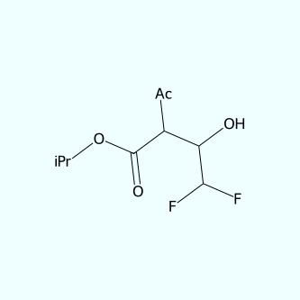 CC(=O)C(C(=O)OC(C)C)C(O)C(F)F